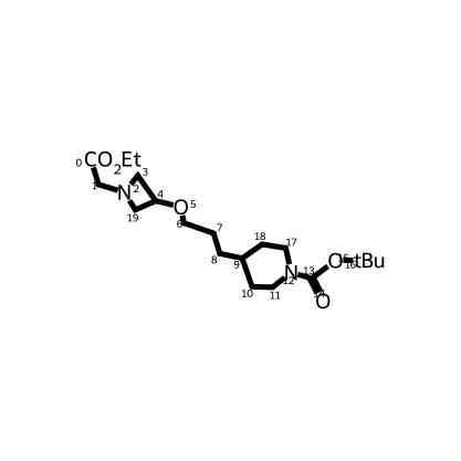 CCOC(=O)CN1CC(OCCCC2CCN(C(=O)OC(C)(C)C)CC2)C1